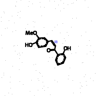 COc1cc(/C=C\C(=O)c2ccccc2O)ccc1O